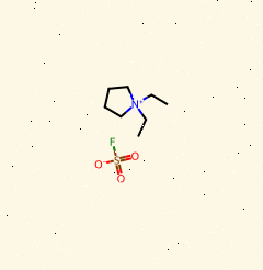 CC[N+]1(CC)CCCC1.O=S(=O)([O-])F